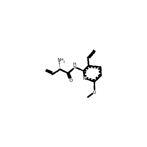 C=Cc1ccc(OC)nc1NC(=O)[C@@H](N)C=C